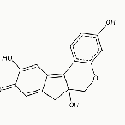 O=C1C=C2CC3(O)COc4cc(O)ccc4C3=C2C=C1O